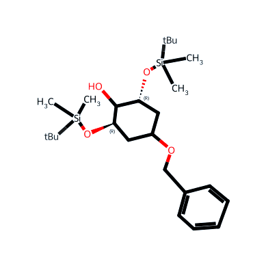 CC(C)(C)[Si](C)(C)O[C@@H]1CC(OCc2ccccc2)C[C@@H](O[Si](C)(C)C(C)(C)C)C1O